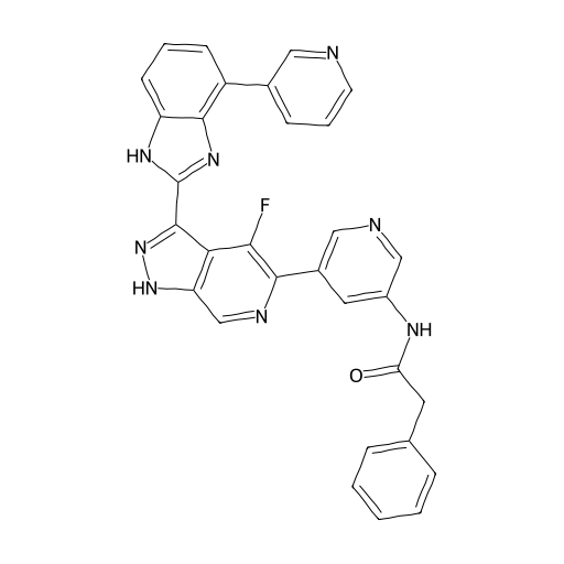 O=C(Cc1ccccc1)Nc1cncc(-c2ncc3[nH]nc(-c4nc5c(-c6cccnc6)cccc5[nH]4)c3c2F)c1